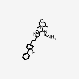 CC1COCC(C)N1C(N=CN)c1cc(CCc2ccc(-c3ccccc3)c(F)c2)no1